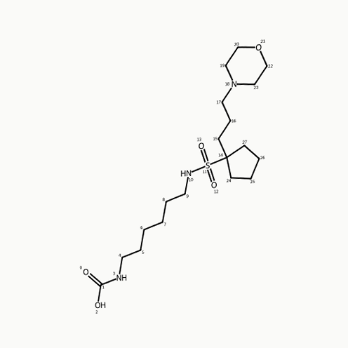 O=C(O)NCCCCCCNS(=O)(=O)C1(CCCN2CCOCC2)CCCC1